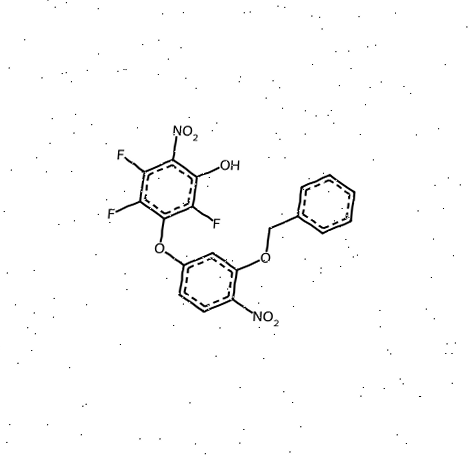 O=[N+]([O-])c1ccc(Oc2c(F)c(O)c([N+](=O)[O-])c(F)c2F)cc1OCc1ccccc1